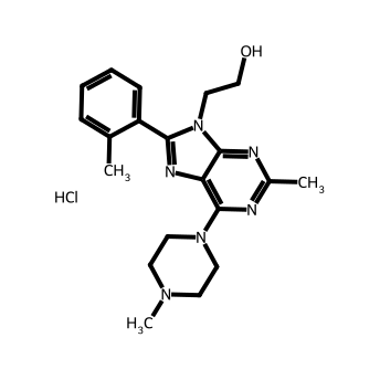 Cc1nc(N2CCN(C)CC2)c2nc(-c3ccccc3C)n(CCO)c2n1.Cl